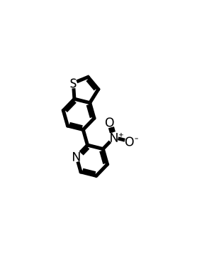 O=[N+]([O-])c1cccnc1-c1ccc2sccc2c1